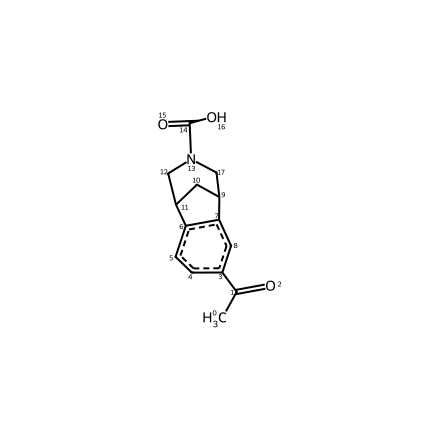 CC(=O)c1ccc2c(c1)C1CC2CN(C(=O)O)C1